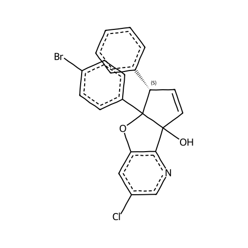 OC12C=C[C@@H](c3ccccc3)C1(c1ccc(Br)cc1)Oc1cc(Cl)cnc12